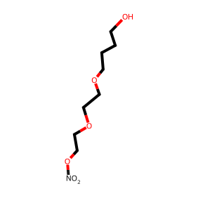 O=[N+]([O-])OCCOCCOCCCCO